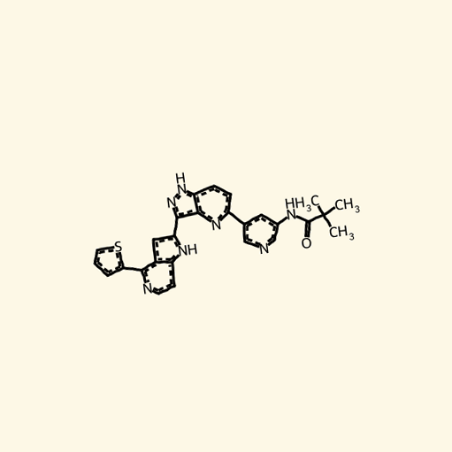 CC(C)(C)C(=O)Nc1cncc(-c2ccc3[nH]nc(-c4cc5c(-c6cccs6)nccc5[nH]4)c3n2)c1